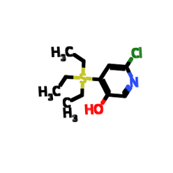 CCS(CC)(CC)c1cc(Cl)ncc1O